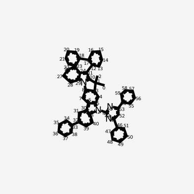 CC1(C)c2cc3c(cc2-n2c1c(-c1ccccc1-c1ccccc1)c1ccccc12)c1cc(-c2ccccc2)ccc1n3-c1nc(-c2ccccc2)cc(-c2ccccc2)n1